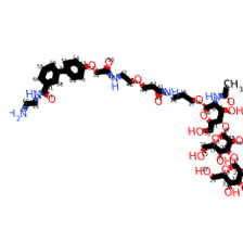 CC(=O)NC1C(O)[C@H](O[C@@H]2OC(CO)[C@H](O)C(O[C@H]3OC(CO)[C@H](O)C(O)C3O)C2O)C(CO)O[C@H]1OCCCNC(=O)CCOCCNC(=O)COc1ccc(-c2cccc(C(=O)NCCN)c2)cc1